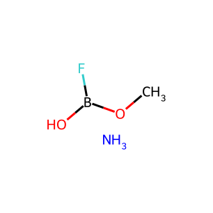 COB(O)F.N